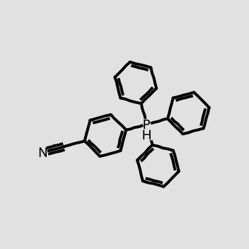 N#Cc1ccc([PH](c2ccccc2)(c2ccccc2)c2ccccc2)cc1